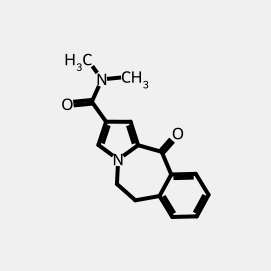 CN(C)C(=O)c1cc2n(c1)CCc1ccccc1C2=O